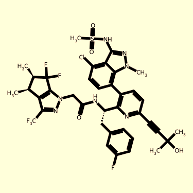 C[C@@H]1c2c(C(F)(F)F)nn(CC(=O)N[C@@H](Cc3cccc(F)c3)c3nc(C#CC(C)(C)O)ccc3-c3ccc(Cl)c4c(NS(C)(=O)=O)nn(C)c34)c2C(F)(F)[C@@H]1C